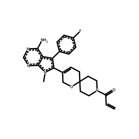 C=CC(=O)N1CCC2(CC=C(c3c(-c4ccc(F)cc4)c4c(N)ncnc4n3C)CO2)CC1